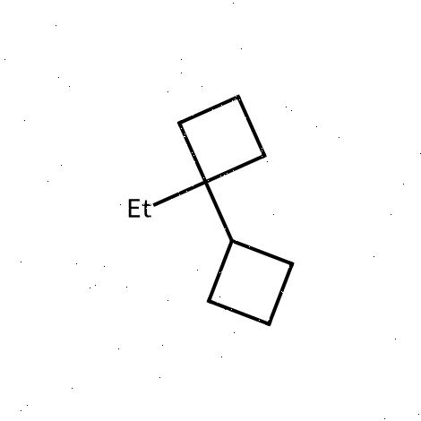 CCC1(C2CCC2)CCC1